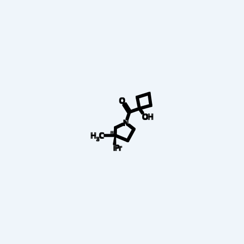 CC(C)[C@]1(C)CCN(C(=O)C2(O)CCC2)C1